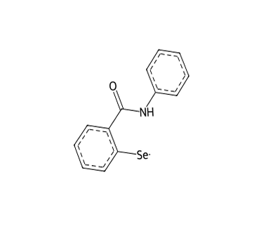 O=C(Nc1ccccc1)c1ccccc1[Se]